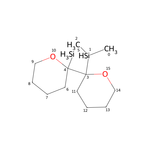 C[SiH](C)C1(C2([SiH3])CCCCO2)CCCCO1